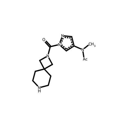 CC(=O)N(C)c1cnn(C(=O)N2CC3(CCNCC3)C2)c1